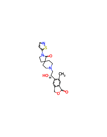 Cc1cc2c(cc1[C@H](O)CN1CCC3(CC1)CCN(c1ccns1)C3=O)COC2=O